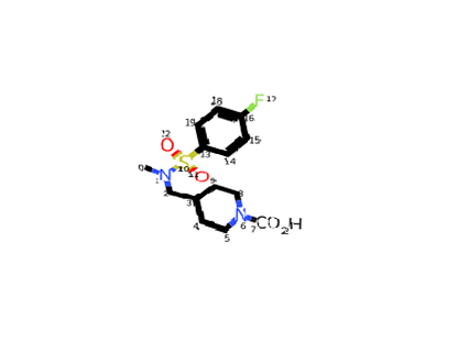 CN(CC1CCN(C(=O)O)CC1)S(=O)(=O)c1ccc(F)cc1